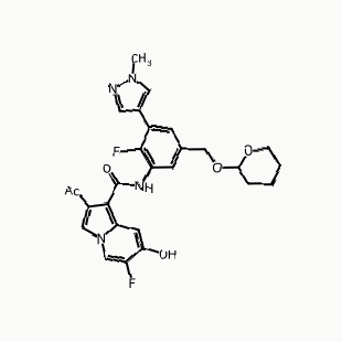 CC(=O)c1cn2cc(F)c(O)cc2c1C(=O)Nc1cc(COC2CCCCO2)cc(-c2cnn(C)c2)c1F